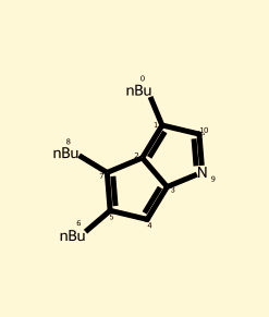 CCCCC1=C2C(=CC(CCCC)=C2CCCC)N=[C]1